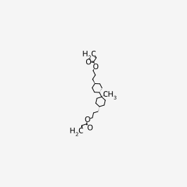 C=CC(=O)OCCC[C@H]1CC[C@H]([C@]2(C)CC[C@@H](CCCOC(=O)C=C)CC2)CC1